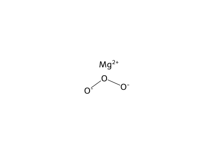 [Mg+2].[O-]O[O-]